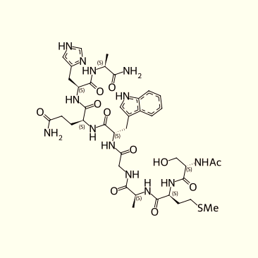 CSCC[C@H](NC(=O)[C@H](CO)NC(C)=O)C(=O)N[C@@H](C)C(=O)NCC(=O)N[C@@H](Cc1c[nH]c2ccccc12)C(=O)N[C@@H](CCC(N)=O)C(=O)N[C@@H](Cc1c[nH]cn1)C(=O)N[C@@H](C)C(N)=O